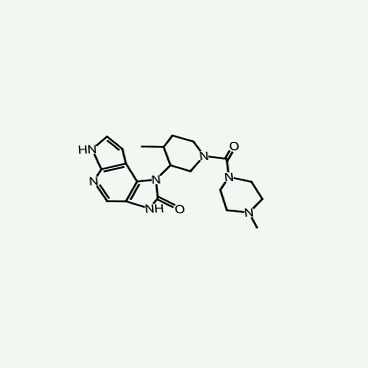 CC1CCN(C(=O)N2CCN(C)CC2)CC1n1c(=O)[nH]c2cnc3[nH]ccc3c21